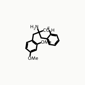 COc1ccc(CC(N)(Cc2ccccc2F)C(=O)O)c(OC)c1